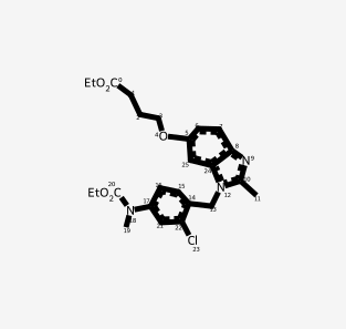 CCOC(=O)CCCOc1ccc2nc(C)n(Cc3ccc(N(C)C(=O)OCC)cc3Cl)c2c1